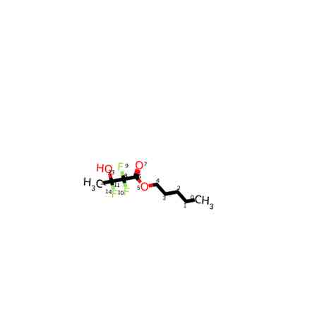 CCCCCOC(=O)C(F)(F)C(C)(O)F